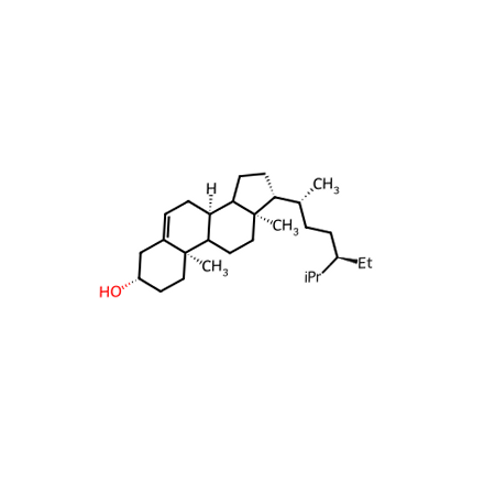 CC[C@H](CC[C@@H](C)[C@H]1CCC2[C@@H]3CC=C4C[C@@H](O)CC[C@]4(C)C3CC[C@@]21C)C(C)C